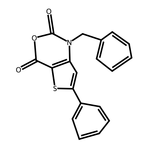 O=c1oc(=O)n(Cc2ccccc2)c2cc(-c3ccccc3)sc12